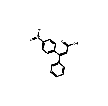 O=C(O)C=C(c1ccccc1)c1ccc([N+](=O)[O-])cc1